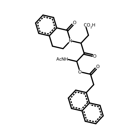 CC(=O)NC(OC(=O)Cc1cccc2ccccc12)C(=O)C(CC(=O)O)N1CCc2ccccc2C1=O